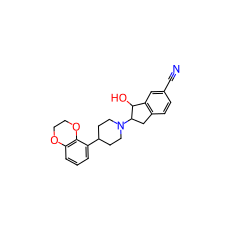 N#Cc1ccc2c(c1)C(O)C(N1CCC(c3cccc4c3OCCO4)CC1)C2